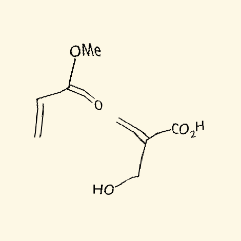 C=C(CO)C(=O)O.C=CC(=O)OC